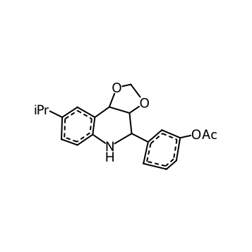 CC(=O)Oc1cccc(C2Nc3ccc(C(C)C)cc3C3OCOC23)c1